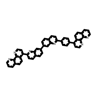 c1cnc2c(c1)ccc1c(-c3ccc(-c4ccc5ccc(-c6ccc7ccc(-c8ccnc9c8ccc8cccnc89)nc7c6)cc5n4)cc3)ccnc12